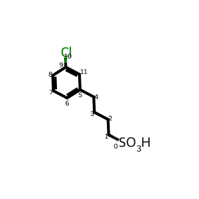 O=S(=O)(O)CCCCc1cccc(Cl)c1